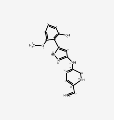 COc1cccc(O)c1-c1cc(NC2=NC=C(C=N)NC2)n[nH]1